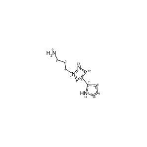 NCCCn1cc(-c2ccc[nH]2)cn1